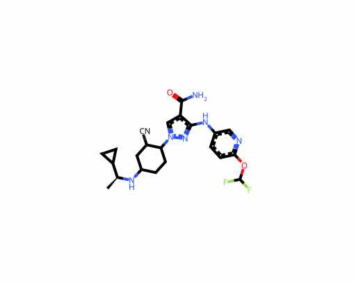 C[C@H](NC1CCC(n2cc(C(N)=O)c(Nc3ccc(OC(F)F)nc3)n2)C(C#N)C1)C1CC1